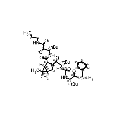 C=CCNC(=O)C(=O)C(CCCC)NC(=O)[C@@H]1[C@@H]2[C@H](CN1C(=O)[C@@H](NC(=O)N[C@H](C(=O)O[C@@H](C)c1ccccc1)C(C)(C)C)C(C)(C)C)C2(C)C